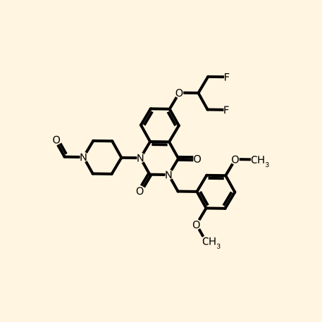 COc1ccc(OC)c(Cn2c(=O)c3cc(OC(CF)CF)ccc3n(C3CCN(C=O)CC3)c2=O)c1